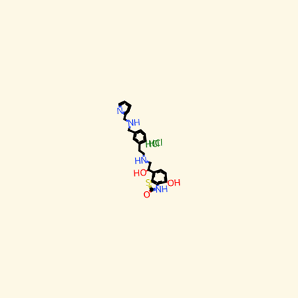 Cl.Cl.O=c1[nH]c2c(O)ccc([C@@H](O)CNCCc3cccc(CNCc4ccccn4)c3)c2s1